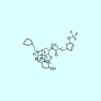 CN(C(=O)/C=C/c1cccc(OC(F)(F)F)c1)C1CC[C@@]2(N(C)C)[C@H]3Cc4ccc(O)c5c4[C@@]2(CCN3CCc2ccccc2)C1O5